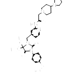 CC1(C)C(=O)N(c2ccc(SC(F)(F)F)cc2)C(=O)N1Cc1ccnc(NC(=O)CN2CCC(N3CCCC3)CC2)c1